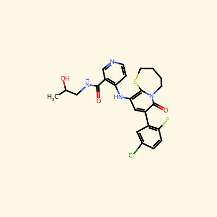 CC(O)CNC(=O)c1cnccc1Nc1cc(-c2cc(Cl)ccc2F)c(=O)n2c1SCCCC2